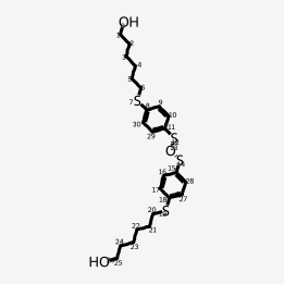 OCCCCCCSc1ccc(SOSc2ccc(SCCCCCCO)cc2)cc1